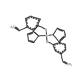 C=Cc1cccc([O][Zr]([O]c2cccc(C=C)c2)([CH]2C=CC=C2)[CH]2C=CC=C2)c1